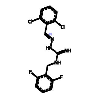 N=C(NCc1c(F)cccc1F)N/N=C/c1c(Cl)cccc1Cl